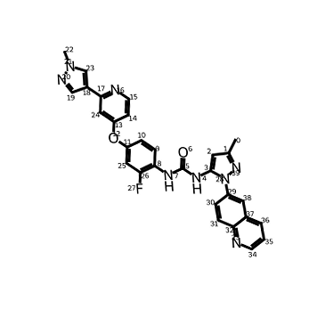 Cc1cc(NC(=O)Nc2ccc(Oc3ccnc(-c4cnn(C)c4)c3)cc2F)n(-c2ccc3ncccc3c2)n1